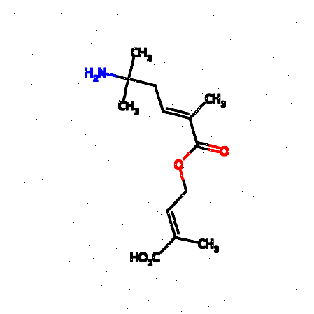 CC(=CCOC(=O)C(C)=CCC(C)(C)N)C(=O)O